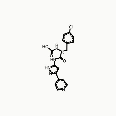 O=C(O)N[C@@H](Cc1ccc(Cl)cc1)C(=O)Nc1cc(-c2ccncc2)n[nH]1